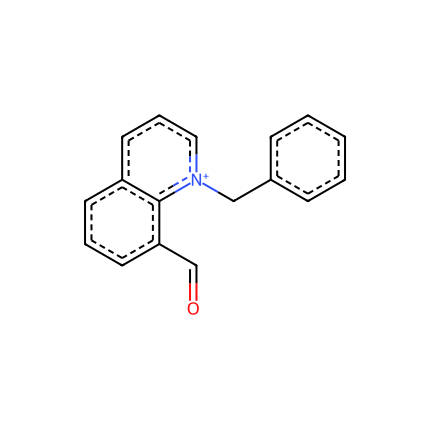 O=Cc1cccc2ccc[n+](Cc3ccccc3)c12